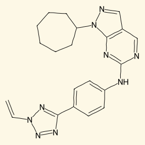 C=Cn1nnc(-c2ccc(Nc3ncc4cnn(C5CCCCCC5)c4n3)cc2)n1